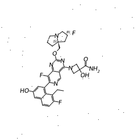 CCc1c(F)ccc2cc(O)cc(-c3ncc4c(N5CC(O)(C(N)=O)C5)nc(OC[C@@]56CCCN5C[C@H](F)C6)nc4c3F)c12